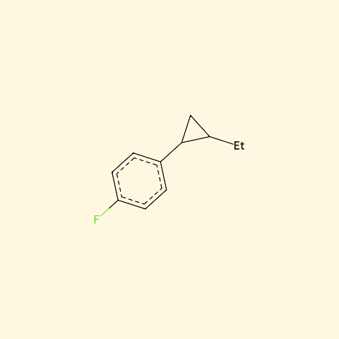 CCC1CC1c1ccc(F)cc1